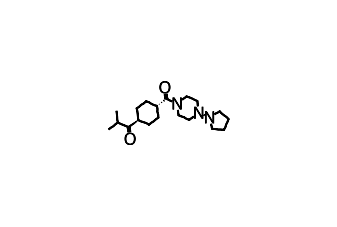 CC(C)C(=O)[C@H]1CC[C@H](C(=O)N2CCN(N3CCCC3)CC2)CC1